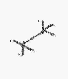 COCCOCCOCCOc1cc(C(=O)OCCCCCCCCCCCSSCCCCCCCCCCCOC(=O)c2cc(OCCOCCOCCOC)c(OCCOCCOCCOC)c(OCCOCCOCCOC)c2)cc(OCCOCCOCCOC)c1OCCOCCOCCOC